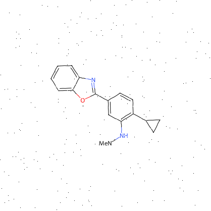 CNNc1cc(-c2nc3ccccc3o2)ccc1C1CC1